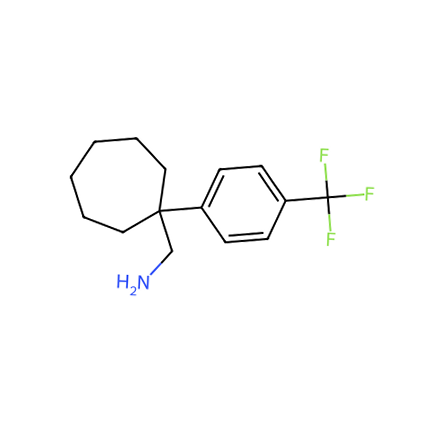 NCC1(c2ccc(C(F)(F)F)cc2)CCCCCC1